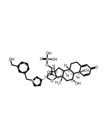 C[C@]12C=CC(=O)C=C1CC[C@@H]1[C@@H]2[C@@H](O)C[C@@]2(C)[C@H]1C[C@H]1O[C@@H](c3ccn(Cc4cccc(CO)c4)c3)O[C@]12C(=O)COP(=O)(O)O